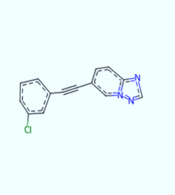 Clc1cccc(C#Cc2ccc3ncnn3c2)c1